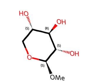 CO[C@H]1OC[C@H](O)[C@@H](O)[C@@H]1O